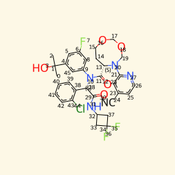 CC(C)(O)c1cc(F)cc(N(C(=O)[C@@H]2CCOCOCN2c2cc(C#N)ccn2)[C@H](C(=O)NC2CC(F)(F)C2)c2ccccc2Cl)c1